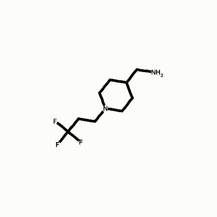 NCC1CCN(CCC(F)(F)F)CC1